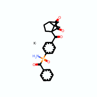 CC1(C)C2CCC1(C(=O)c1ccc(P(N)(=O)C(=O)c3ccccc3)cc1)C(=O)C2=O.[K]